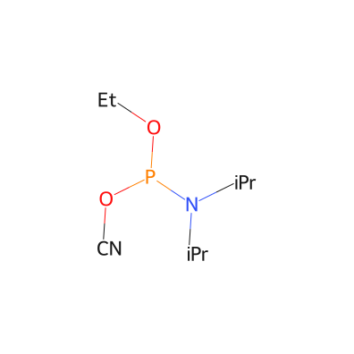 CCOP(OC#N)N(C(C)C)C(C)C